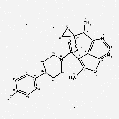 Cc1oc2ncnc(N(C)C3(C)CC3)c2c1C(=O)N1CCN(c2ccc(F)cc2)CC1